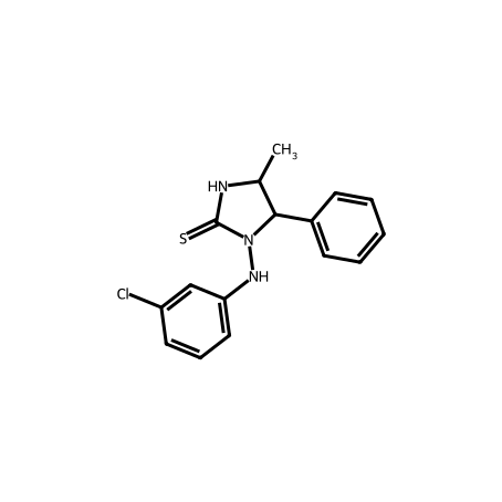 CC1NC(=S)N(Nc2cccc(Cl)c2)C1c1ccccc1